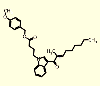 CCCCCC/C=C(\C)C(=O)c1cn(CCCC(=O)OCc2ccc(OC)cc2)c2ccccc12